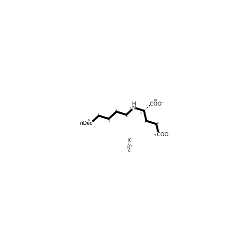 CCCCCCCCCCCCCCN[C@@H](CCC(=O)[O-])C(=O)[O-].[K+].[K+]